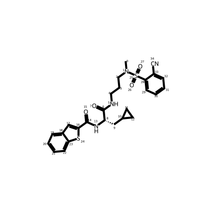 CN(CCCNC(=O)[C@H](CC1CC1)NC(=O)c1cc2ccccc2s1)S(=O)(=O)c1ccccc1C#N